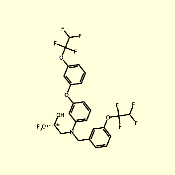 O[C@H](CN(Cc1cccc(OC(F)(F)C(F)F)c1)c1cccc(Oc2cccc(OC(F)(F)C(F)F)c2)c1)C(F)(F)F